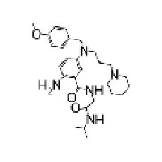 COc1ccc(CN(CCCN2CCCCC2)c2ccc(N)c(C(=O)NCC(=O)NC(C)C)c2)cc1